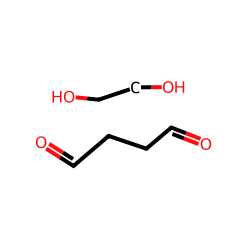 O=CCCC=O.OCCO